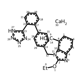 CCOc1nc2cccc(C(=O)O)c2n1Cc1ccc(-c2ccccc2-c2nnn[nH]2)cc1.[CaH2]